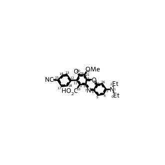 CCN(CC)c1ccc2nc3c(C(=O)O)c(-c4ccc(C#N)cc4)c(=O)c(OC)c-3oc2c1